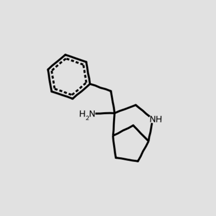 NC1(Cc2ccccc2)CNC2CCC1C2